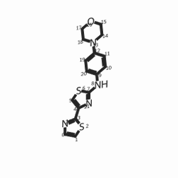 c1csc(-c2csc(Nc3ccc(N4CCOCC4)cc3)n2)n1